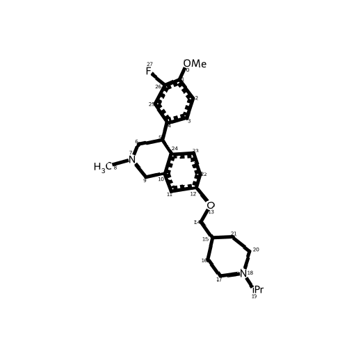 COc1ccc(C2CN(C)Cc3cc(OCC4CCN(C(C)C)CC4)ccc32)cc1F